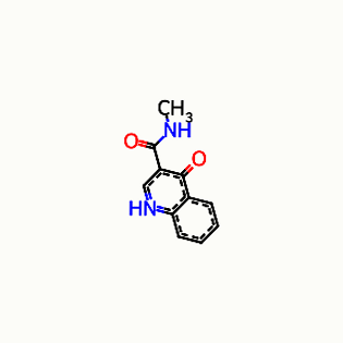 CNC(=O)c1c[nH]c2ccccc2c1=O